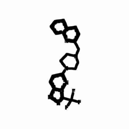 FC(F)(F)c1nnc2ccc(N3CCN(Cc4ccc5ccccc5n4)CC3)nn12